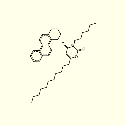 CCCCCCCCCCCC1=CC(=O)[C@@H](CCCCCC)C(=O)O1.c1ccc2c(c1)ccc1c3c(ccc12)CCCC3